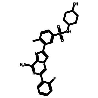 Cc1ccc(S(=O)(=O)NC2CCC(O)CC2)cc1-c1cn2cc(-c3ccccc3F)nc(N)c2n1